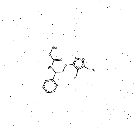 Cc1onc(OC[C@@H](NC(=O)OC(C)(C)C)c2ccccn2)c1Br